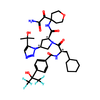 CC(C)(O)c1cnnn1[C@H]1C[C@@H](C(=O)NC2(C(=O)C(N)=O)CCOCC2)N(C(=O)[C@@H](CC2CCCCC2)NC(=O)c2ccc(C(O)(C(F)(F)F)C(F)(F)F)cc2)C1